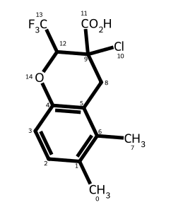 Cc1ccc2c(c1C)CC(Cl)(C(=O)O)C(C(F)(F)F)O2